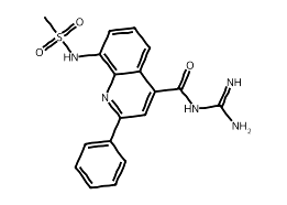 CS(=O)(=O)Nc1cccc2c(C(=O)NC(=N)N)cc(-c3ccccc3)nc12